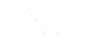 c1ccc2c(c1)-c1cc(Nc3ccc4sc5ccccc5c4c3)ccc1C21C2CCC3CC(C2)CC1C3